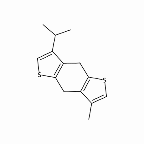 Cc1csc2c1Cc1scc(C(C)C)c1C2